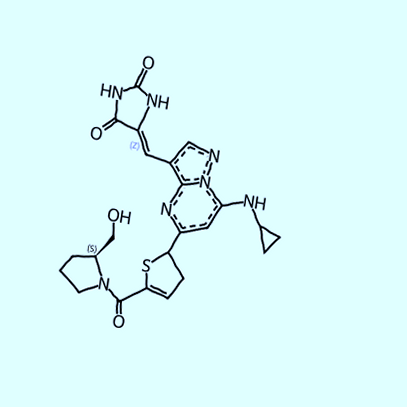 O=C1NC(=O)/C(=C/c2cnn3c(NC4CC4)cc(C4CC=C(C(=O)N5CCC[C@H]5CO)S4)nc23)N1